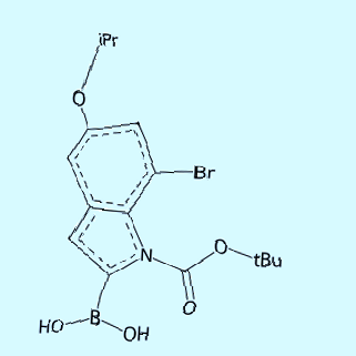 CC(C)Oc1cc(Br)c2c(c1)cc(B(O)O)n2C(=O)OC(C)(C)C